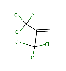 [CH]=C(C(Cl)(Cl)Cl)C(Cl)(Cl)Cl